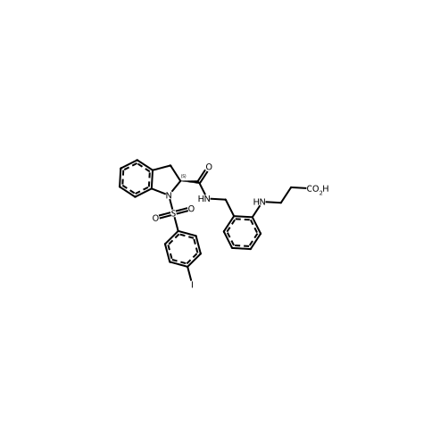 O=C(O)CCNc1ccccc1CNC(=O)[C@@H]1Cc2ccccc2N1S(=O)(=O)c1ccc(I)cc1